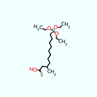 CCO[Si](CCCCCCCCC(C)CC(O)=S)(OCC)OCC